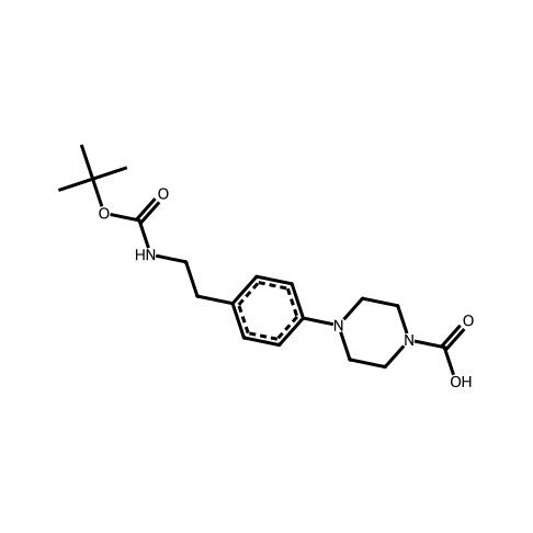 CC(C)(C)OC(=O)NCCc1ccc(N2CCN(C(=O)O)CC2)cc1